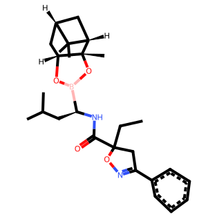 CCC1(C(=O)N[C@@H](CC(C)C)B2O[C@@H]3C[C@@H]4C[C@@H](C4(C)C)[C@]3(C)O2)CC(c2ccccc2)=NO1